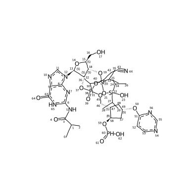 CC(C)C(=O)Nc1nc2c(ncn2[C@H]2O[C@@H](CO)[C@H](O[Si](O[Si](O)(C(C)C)C(C)C)(C(C)C)C(C)C)[C@@H]2OP(=O)(OCCC#N)OC[C@@H]2C[C@H](Oc3ccncn3)C[C@H]2O[PH](=O)O)c(=O)[nH]1